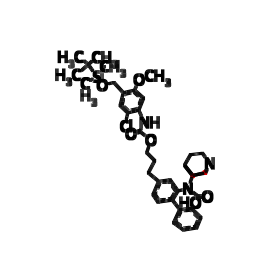 COc1cc(NC(=O)OCCCc2ccc(-c3ccccc3)c(N(C(=O)O)C3CN4CCC3CC4)c2)c(Cl)cc1CO[Si](C)(C)C(C)(C)C